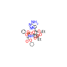 CCC(=O)O[C@H]1[C@H](c2ccc3c(N)ncnn23)O[C@](C#N)(CO[P@@](=O)(N[C@@H](C)C(=O)OC2CCCCC2)Oc2ccccc2)[C@H]1OC(=O)CC